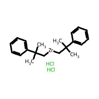 CC(C)([CH2][Zr][CH2]C(C)(C)c1ccccc1)c1ccccc1.Cl.Cl